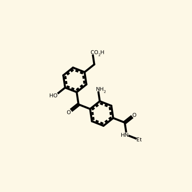 CCNC(=O)c1ccc(C(=O)c2cc(CC(=O)O)ccc2O)c(N)c1